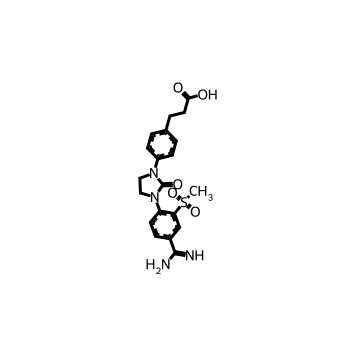 CS(=O)(=O)c1cc(C(=N)N)ccc1N1CCN(c2ccc(CCC(=O)O)cc2)C1=O